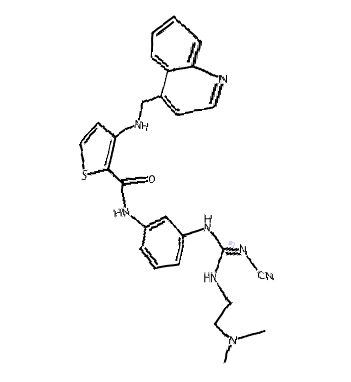 CN(C)CCN/C(=N\C#N)Nc1cccc(NC(=O)c2sccc2NCc2ccnc3ccccc23)c1